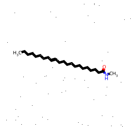 CCCCCCCCC=CCCCCCCCCCCCC(=O)NC